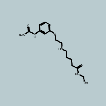 COC(=O)Nc1cccc(OCCNCCCCC(=O)NCC(C)(C)C)c1